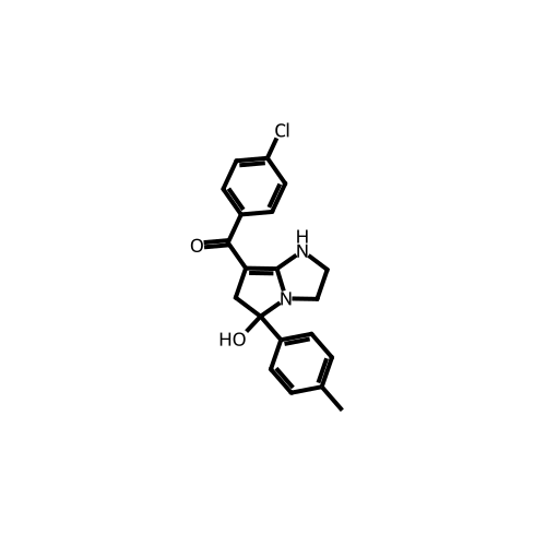 Cc1ccc(C2(O)CC(C(=O)c3ccc(Cl)cc3)=C3NCCN32)cc1